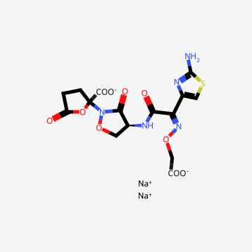 Nc1nc(/C(=N/OCC(=O)[O-])C(=O)N[C@H]2CON(C3(C(=O)[O-])CCC(=O)O3)C2=O)cs1.[Na+].[Na+]